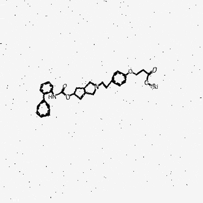 CC(C)(C)OC(=O)CCOc1ccc(CCN2CC3CC(OC(=O)Nc4ccccc4-c4ccccc4)CC3C2)cc1